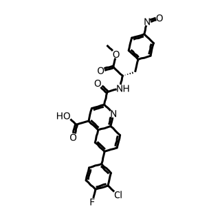 COC(=O)[C@H](Cc1ccc(N=O)cc1)NC(=O)c1cc(C(=O)O)c2cc(-c3ccc(F)c(Cl)c3)ccc2n1